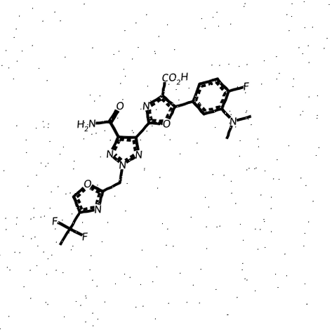 CN(C)c1cc(-c2oc(-c3nn(Cc4nc(C(C)(F)F)co4)nc3C(N)=O)nc2C(=O)O)ccc1F